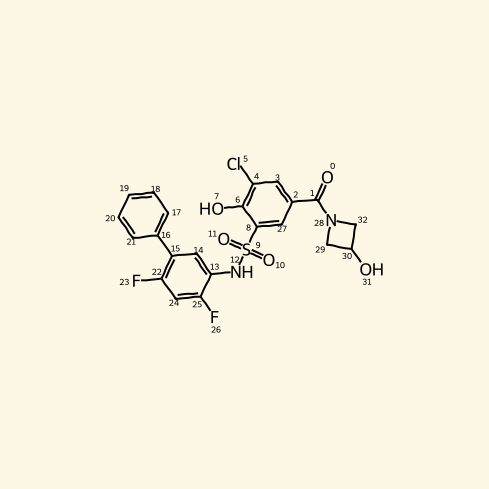 O=C(c1cc(Cl)c(O)c(S(=O)(=O)Nc2cc(-c3ccccc3)c(F)cc2F)c1)N1CC(O)C1